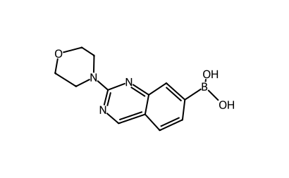 OB(O)c1ccc2cnc(N3CCOCC3)nc2c1